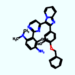 COc1cc(-c2nc3ccccn3c2-c2ccnc(-c3c(N(C)C)ccc(N)c3OC)n2)ccc1OCc1ccccc1